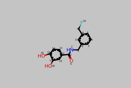 O=C(NCc1cccc(CF)c1)c1ccc(O)c(O)c1